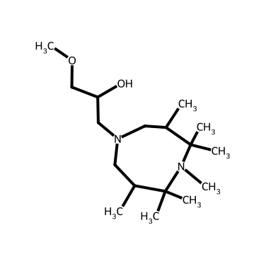 COCC(O)CN1CC(C)C(C)(C)N(C)C(C)(C)C(C)C1